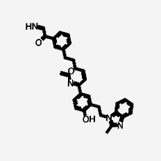 C=C/N=C(\C=C/C(=O)CCc1cccc(C(=O)C=N)c1)c1ccc(O)c(CCn2c(C)nc3ccccc32)c1